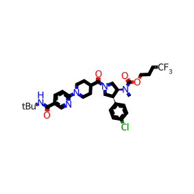 CN(C(=O)OCCCC(F)(F)F)[C@@H]1CN(C(=O)C2CCN(c3ccc(C(=O)NC(C)(C)C)cn3)CC2)C[C@H]1c1ccc(Cl)cc1